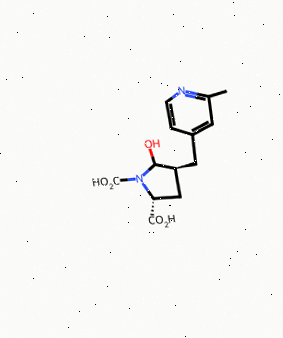 Cc1cc(C[C@H]2C[C@H](C(=O)O)N(C(=O)O)C2O)ccn1